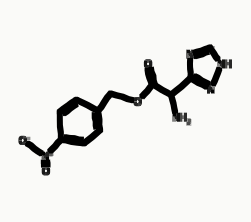 NC(C(=O)OCc1ccc([N+](=O)[O-])cc1)c1n[c][nH]n1